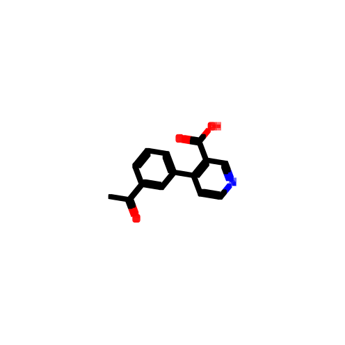 CC(=O)c1cccc(-c2ccncc2C(=O)O)c1